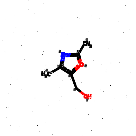 Cc1nc(C)c(CO)o1